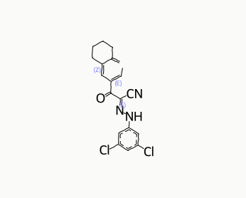 C=C1CCCC/C1=C/C(=C\C)C(=O)/C(C#N)=N/Nc1cc(Cl)cc(Cl)c1